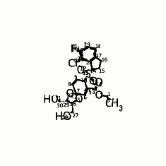 CCOC(=O)C1=CC2(CCC1S(=O)(=O)C1CCc3ccc(F)c(Cl)c31)O[C@@H](CO)[C@H](CO)O2